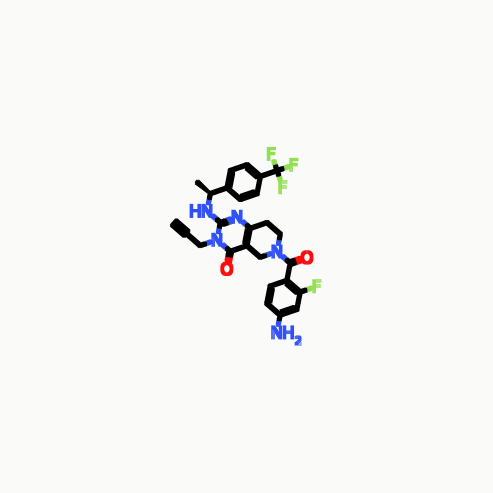 C#CCn1c(N[C@@H](C)c2ccc(C(F)(F)F)cc2)nc2c(c1=O)CN(C(=O)c1ccc(N)cc1F)CC2